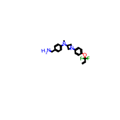 C=CC(F)(F)Oc1ccc(N2CC(N(C)c3ccc(CN)cc3)C2)cc1